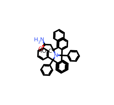 NC(=O)C[C@@](Cc1ccccc1)(C(=O)O)N(C(c1ccccc1)(c1ccccc1)c1ccccc1)C(c1ccccc1)(c1ccccc1)c1ccccc1